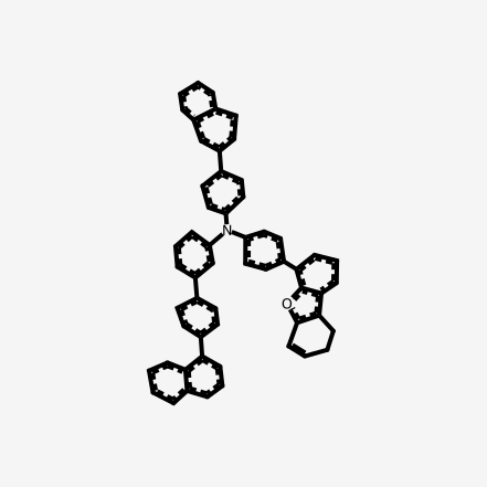 C1=Cc2oc3c(-c4ccc(N(c5ccc(-c6ccc7ccccc7c6)cc5)c5cccc(-c6ccc(-c7cccc8ccccc78)cc6)c5)cc4)cccc3c2CC1